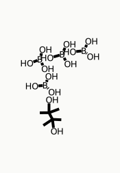 CC(C)(O)C(C)(C)O.OB(O)O.OB(O)O.OB(O)O.OB(O)O